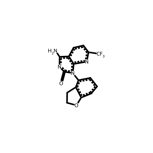 Nc1nc(=O)n(-c2cccc3c2CCO3)c2nc(C(F)(F)F)ccc12